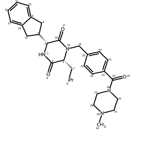 CC(C)C[C@@H]1C(=O)N[C@H](C2Cc3ccccc3C2)C(=O)N1Cc1ccc(C(=O)N2CCN(C)CC2)cc1